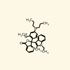 CCCN(CCC)c1ccc(C2(c3c(C)n(CC)c4ccccc34)OC(=O)c3cccnc32)c(NC)c1